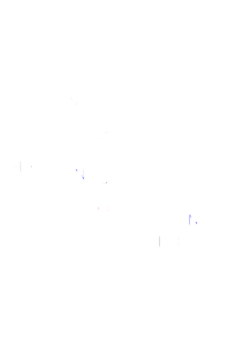 CCN1C(=O)C(=CC=C2CCCN2C)OC1C=S